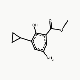 COC(=O)c1cc(N)cc(C2CC2)c1O